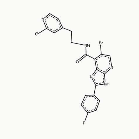 O=C(NCCc1ccnc(Cl)c1)c1c(Br)cnc2[nH]c(-c3ccc(F)cc3)nc12